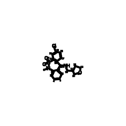 CN1c2ccccc2C(NCC2CCOC2)c2ccc(Cl)cc2S1(=O)=O